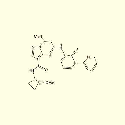 CNc1cc(Nc2cccn(-c3ccccn3)c2=O)nc2c(C(=O)NC3CC[C@H]3OC)cnn12